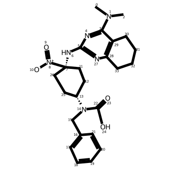 CN(C)c1nc(N[C@]2([N+](=O)[O-])CC[C@H](N(Cc3ccccc3)C(=O)O)CC2)nc2c1CCCC2